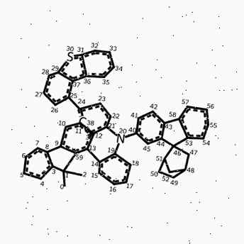 CC1(C)c2ccccc2-c2cccc(-c3ccccc3N(c3ccc(-c4cccc5sc6ccccc6c45)cc3)c3ccc4c(c3)C3(CC5CCC3C5)c3ccccc3-4)c21